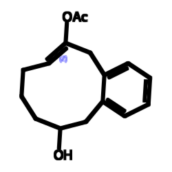 CC(=O)O/C1=C\CCCC(O)Cc2ccccc2C1